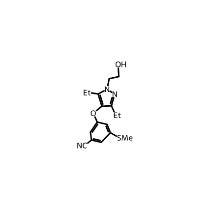 CCc1nn(CCO)c(CC)c1Oc1cc(C#N)cc(SC)c1